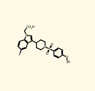 CC(C)Oc1ccc(S(=O)(=O)N2CCC(c3cn(CC(=O)O)c4ccc(F)cc34)CC2)cc1